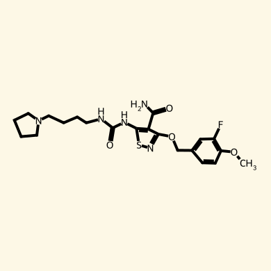 COc1ccc(COc2nsc(NC(=O)NCCCCN3CCCC3)c2C(N)=O)cc1F